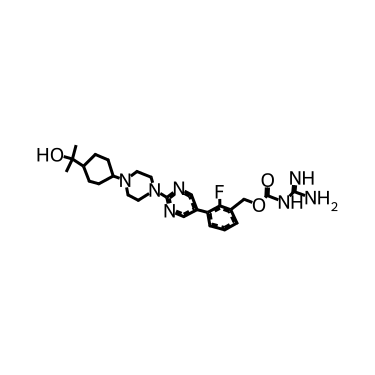 CC(C)(O)C1CCC(N2CCN(c3ncc(-c4cccc(COC(=O)NC(=N)N)c4F)cn3)CC2)CC1